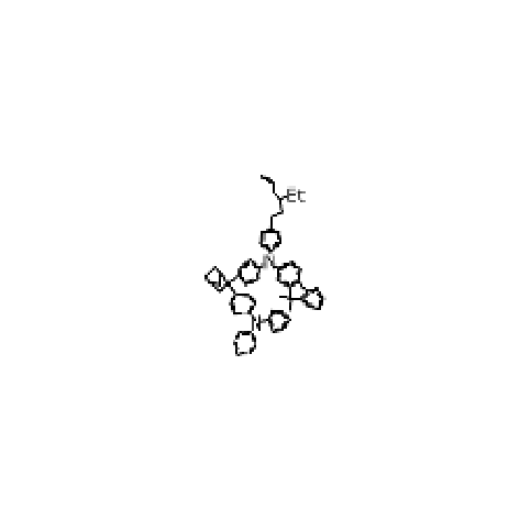 C=CCC(CC)CCc1ccc(N(c2ccc(C3(c4ccc(N(c5ccccc5)c5ccccc5)cc4)CC4CCC3C4)cc2)c2ccc3c(c2)C(C)(C)c2ccccc2-3)cc1